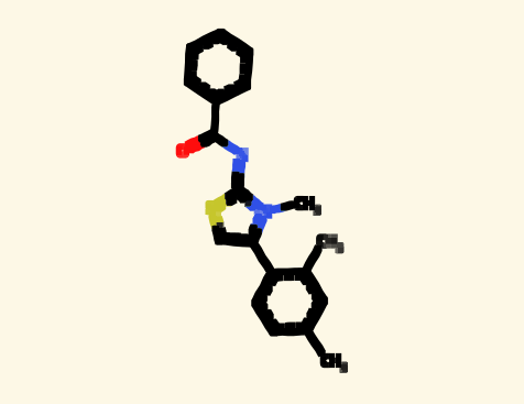 Cc1ccc(-c2cs/c(=N\C(=O)c3ccccc3)n2C)c(C)c1